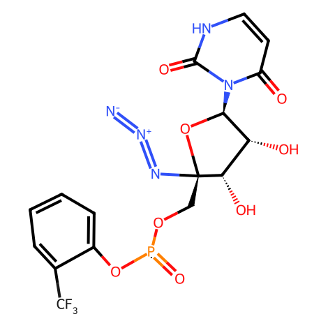 [N-]=[N+]=N[C@]1(CO[P](=O)Oc2ccccc2C(F)(F)F)O[C@@H](n2c(=O)cc[nH]c2=O)[C@H](O)[C@@H]1O